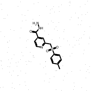 Cc1ccc(S(=O)(=O)Cc2cc(C(=O)NN)ccn2)cc1